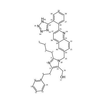 CCCCc1nc(CCc2ccccc2)c(CO)n1Cc1ccc2nc(-c3ccccc3-c3nnn[nH]3)ccc2c1